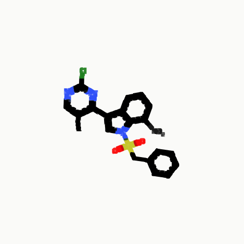 Cc1cnc(Cl)nc1-c1cn(S(=O)(=O)Cc2ccccc2)c2c([N+](=O)[O-])cccc12